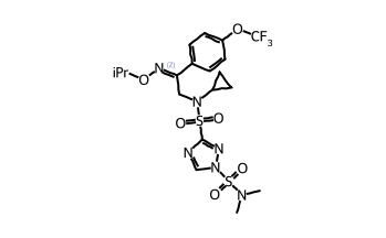 CC(C)O/N=C(\CN(C1CC1)S(=O)(=O)c1ncn(S(=O)(=O)N(C)C)n1)c1ccc(OC(F)(F)F)cc1